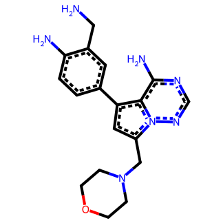 NCc1cc(-c2cc(CN3CCOCC3)n3ncnc(N)c23)ccc1N